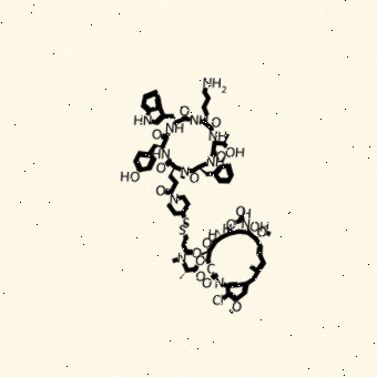 COc1cc2cc(c1Cl)N(C)C(=O)C[C@H](OC(=O)[C@H](C)N(C)C(=O)CCSSC1CCN(C(=O)CC[C@H]3C(=O)N[C@@H](Cc4ccc(O)cc4)C(=O)N[C@H](Cc4c[nH]c5ccccc45)C(=O)N[C@@H](CCCCN)C(=O)N[C@@H]([C@@H](C)O)C(=O)N[C@@H](Cc4ccccc4)C(=O)N3C)CC1)[C@]1(C)O[C@H]1[C@H](C)[C@@H]1C[C@@](O)(NC(=O)O1)[C@H](OC)/C=C/C=C(\C)C2